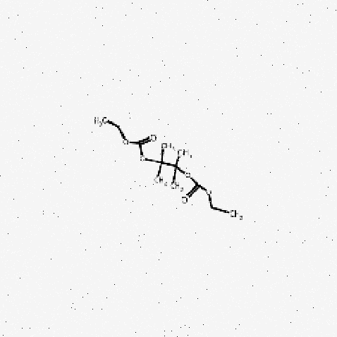 CCOC(=O)OC(C)(C)C(C)(C)OC(=O)OCC